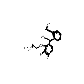 C=CCOc1c(C(Cl)c2ccccc2CF)ccc(F)c1F